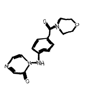 O=C(c1ccc(Nn2ccncc2=O)cc1)N1CCOCC1